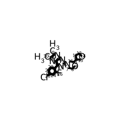 Cc1nc2nc(N3CCOC(C4CCOC4)C3)nc(-c3ccc(Cl)cc3F)c2nc1C